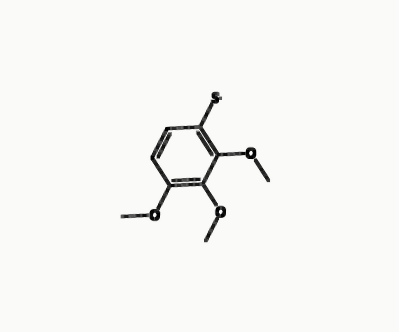 COc1ccc([S])c(OC)c1OC